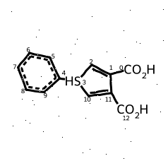 O=C(O)C1=C[SH](c2cc[c]cc2)C=C1C(=O)O